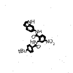 CC(C)(C)c1ccc(C(=O)Nc2cc([N+](=O)[O-])ccc2C(=O)Nc2ccc3cc[nH]c3c2)cc1